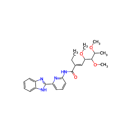 CC/C(=C\C(OC)C(OC)C(C)OC)C(=O)Nc1cccc(-c2nc3ccccc3[nH]2)n1